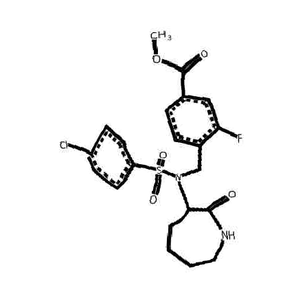 COC(=O)c1ccc(CN(C2CCCCNC2=O)S(=O)(=O)c2ccc(Cl)cc2)c(F)c1